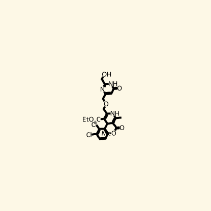 CCOC(=O)C1=C(COCc2cc(=O)[nH]c(CO)n2)NC(C)=C(C(=O)OC)C1c1cccc(Cl)c1Cl